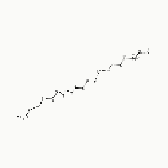 CCCCCCCCCCCCCCCCCCN[C]=S